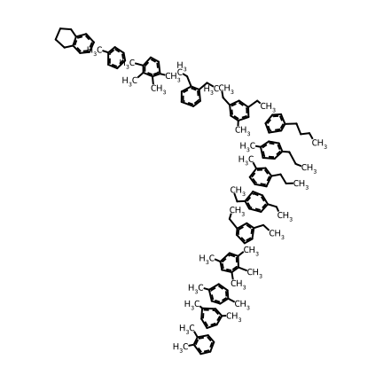 CCCCc1ccccc1.CCCc1ccc(C)cc1.CCCc1cccc(C)c1.CCc1cc(C)cc(CC)c1.CCc1ccc(CC)cc1.CCc1cccc(CC)c1.CCc1ccccc1CC.Cc1cc(C)c(C)c(C)c1.Cc1ccc(C)c(C)c1C.Cc1ccc(C)cc1.Cc1cccc(C)c1.Cc1ccccc1.Cc1ccccc1C.c1ccc2c(c1)CCCC2